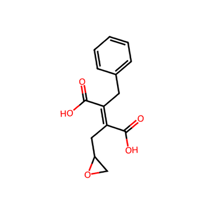 O=C(O)/C(Cc1ccccc1)=C(\CC1CO1)C(=O)O